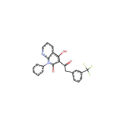 O=C(Cc1cccc(C(F)(F)F)c1)c1c(O)c2cccnc2n(-c2ccccc2)c1=O